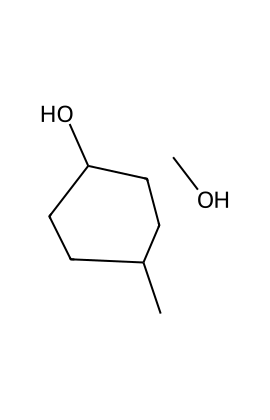 CC1CCC(O)CC1.CO